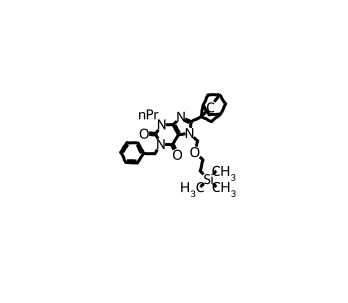 CCCn1c(=O)n(Cc2ccccc2)c(=O)c2c1nc(C13CC4CC(CC1C4)C3)n2COCC[Si](C)(C)C